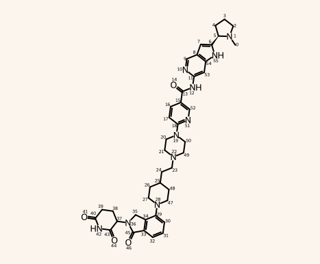 CN1CCC[C@@H]1c1cc2cnc(NC(=O)c3ccc(N4CCN(CCC5CCN(c6cccc7c6CN(C6CCC(=O)NC6=O)C7=O)CC5)CC4)nc3)cc2[nH]1